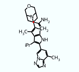 C=C(N)CN1C2COCC1CC(c1sc3[nH]c(-c4cc(C)c5ncnn5c4)c(C(C)C)c3c1C)C2